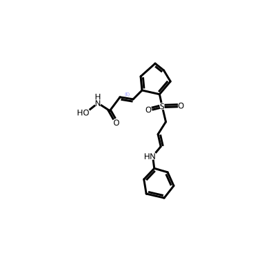 O=C(/C=C/c1ccccc1S(=O)(=O)CC=CNc1ccccc1)NO